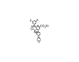 CCOC(=O)c1cc(-c2ccc(N3CCOCC3)cc2)c(C(=N)C2CCC2)c(Nc2cc(F)cc(F)c2)n1